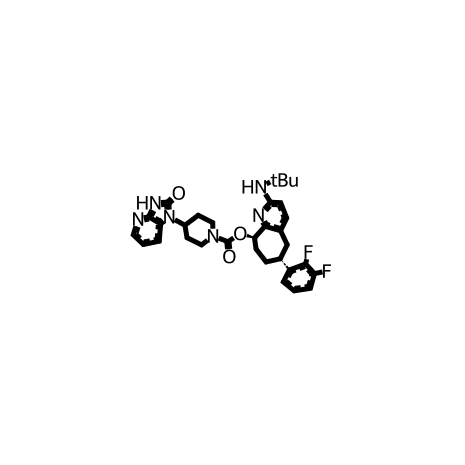 CC(C)(C)Nc1ccc2c(n1)[C@H](OC(=O)N1CCC(n3c(=O)[nH]c4ncccc43)CC1)CC[C@@H](c1cccc(F)c1F)C2